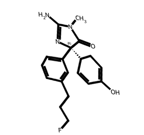 CN1C(=O)[C@](c2cccc(CCCF)c2)(C2C=CC(O)=CC2)N=C1N